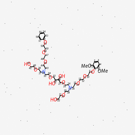 COc1cccc(OC)c1OCCOCCOCCN(CCOCCO)CCOCC(O)C(O)COCCN(CCOCCO)CCOCCOCCOc1ccccc1